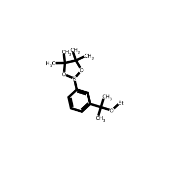 CCOC(C)(C)c1cccc(B2OC(C)(C)C(C)(C)O2)c1